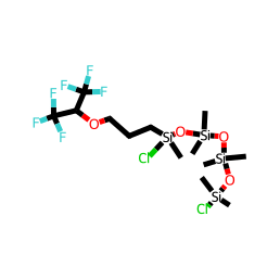 C[Si](C)(Cl)O[Si](C)(C)O[Si](C)(C)O[Si](C)(Cl)CCCOC(C(F)(F)F)C(F)(F)F